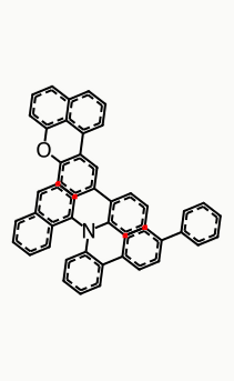 c1ccc(-c2ccc(-c3ccccc3N(c3ccccc3-c3ccc4c(c3)-c3cccc5cccc(c35)O4)c3cccc4ccccc34)cc2)cc1